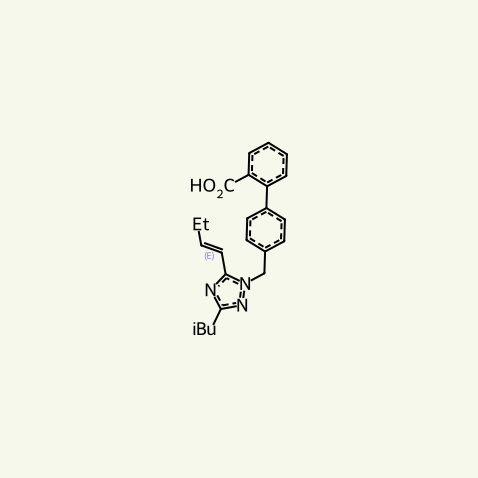 CC/C=C/c1nc(C(C)CC)nn1Cc1ccc(-c2ccccc2C(=O)O)cc1